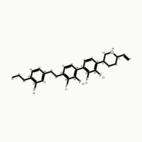 C=CC1CCC(c2ccc(-c3ccc(CCc4ccc(CCC)c(F)c4)c(F)c3F)c(F)c2F)CO1